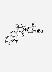 C#Cc1ccc(N2C(=O)C(C)(C)N(c3ccc(CCCC)c(CC)c3)C2=S)cc1C(F)P